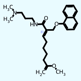 C=C(CCCC/C=C(\COc1cccc2ccccc12)C(=O)NCCCN(C)C)OC